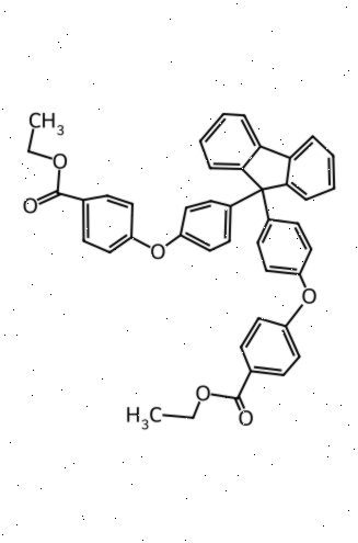 CCOC(=O)c1ccc(Oc2ccc(C3(c4ccc(Oc5ccc(C(=O)OCC)cc5)cc4)c4ccccc4-c4ccccc43)cc2)cc1